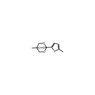 Cc1ccc(C23OCC(C)(CO2)CO3)s1